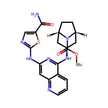 CC(C)(C)OC(=O)N1[C@@H]2CC[C@H]1C[C@H](Nc1nc(Nc3ncc(C(N)=O)s3)cc3ncccc13)C2